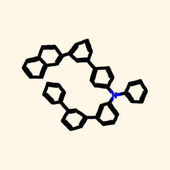 c1ccc(-c2cccc(-c3cccc(N(c4ccccc4)c4ccc(-c5cccc(-c6ccc7ccccc7c6)c5)cc4)c3)c2)cc1